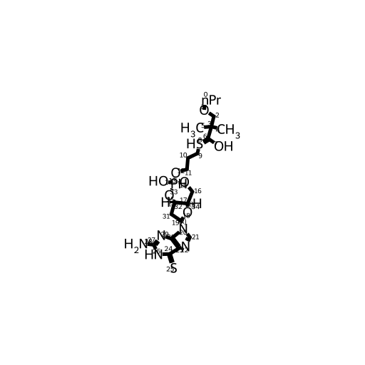 CCCOCC(C)(C)C(O)=[SH]CCCO[PH]1(O)OC[C@H]2O[C@@H](n3cnc4c(=S)[nH]c(N)nc43)C[C@@H]2O1